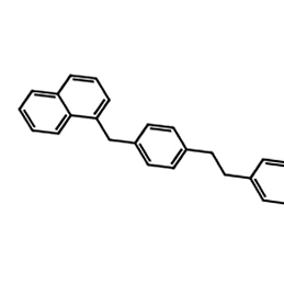 c1ccc(CCc2ccc(Cc3cccc4ccccc34)cc2)cc1